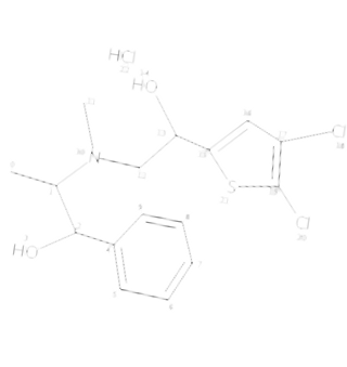 CC(C(O)c1ccccc1)N(C)CC(O)c1cc(Cl)c(Cl)s1.Cl